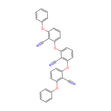 N#Cc1c(Oc2ccccc2)cccc1Oc1cccc(Oc2cccc(Oc3ccccc3)c2C#N)c1C#N